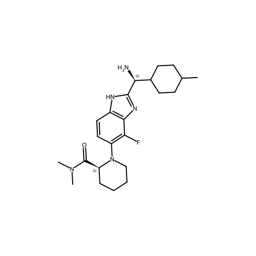 CC1CCC([C@H](N)c2nc3c(F)c(N4CCCC[C@H]4C(=O)N(C)C)ccc3[nH]2)CC1